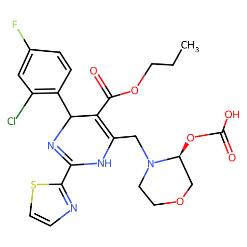 CCCOC(=O)C1=C(CN2CCOC[C@@H]2OC(=O)O)NC(c2nccs2)=NC1c1ccc(F)cc1Cl